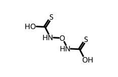 OC(=S)NONC(O)=S